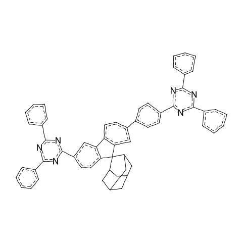 c1ccc(-c2nc(-c3ccccc3)nc(-c3ccc(-c4ccc5c(c4)C4(c6ccc(-c7nc(-c8ccccc8)nc(-c8ccccc8)n7)cc6-5)C5CC6CC(C5)CC4C6)cc3)n2)cc1